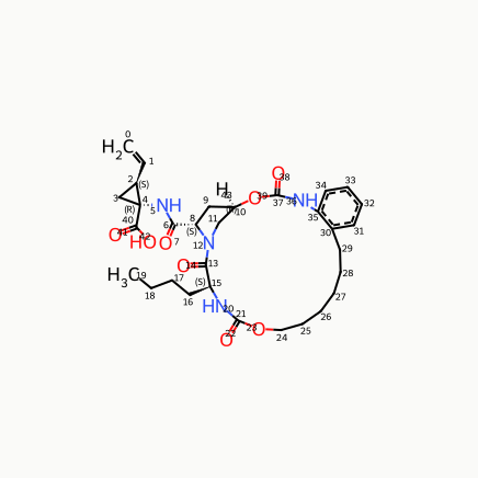 C=C[C@@H]1C[C@]1(NC(=O)[C@@H]1C[C@@H]2CN1C(=O)[C@H](CCCC)NC(=O)OCCCCCCc1ccccc1NC(=O)O2)C(=O)O